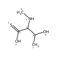 CNC(C(O)=S)C(C)O